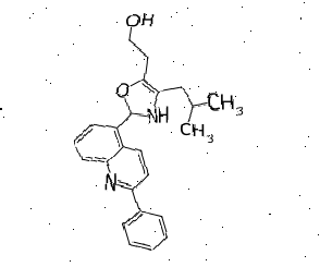 CC(C)CC1=C(CCO)OC(c2cccc3nc(-c4ccccc4)ccc23)N1